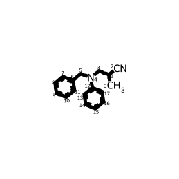 CC(C#N)CN(Cc1ccccc1)c1ccccc1